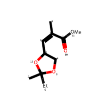 CCC1(C)OCC(C=C(C)C(=O)OC)O1